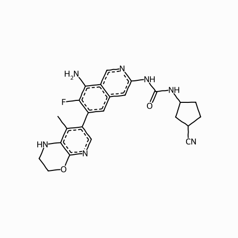 Cc1c(-c2cc3cc(NC(=O)NC4CCC(C#N)C4)ncc3c(N)c2F)cnc2c1NCCO2